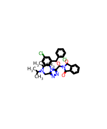 CC(C)N(Cc1nnc(CN2C(=O)c3ccccc3C2=O)n1-c1ccc(Cl)cc1C(=O)c1ccccc1Cl)C(C)C